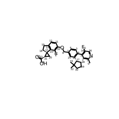 Cc1cc(-c2ccc(COc3ccc4c(c3F)[C@]3(CC4)C[C@H]3C(=O)O)cc2[C@@H]2CCCC2(C)C)c(F)cn1